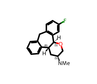 CN[C@@H]1CO[C@@H]2c3cc(F)ccc3Cc3ccccc3[C@H]2C1